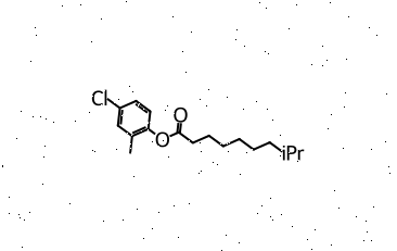 Cc1cc(Cl)ccc1OC(=O)CCCCCCC(C)C